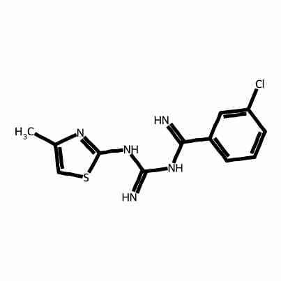 Cc1csc(NC(=N)NC(=N)c2cccc(Cl)c2)n1